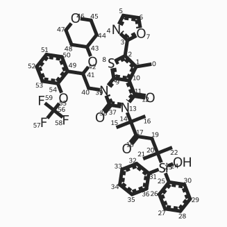 Cc1c(-c2ncco2)sc2c1c(=O)n(C(C)(C)C(=O)CC(C)(C)[Si](O)(c1ccccc1)c1ccccc1)c(=O)n2CC(OC1CCOCC1)c1ccccc1OC(F)(F)F